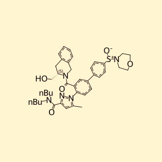 CCCCN(CCCC)C(=O)c1cc(C)n(-c2ccc(-c3ccc([S+]([O-])N4CCOCC4)cc3)cc2C(=O)N2Cc3ccccc3C[C@H]2CO)n1